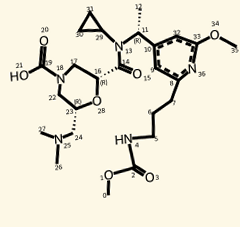 COC(=O)NCCCc1cc([C@@H](C)N(C(=O)[C@H]2CN(C(=O)O)C[C@@H](CN(C)C)O2)C2CC2)cc(OC)n1